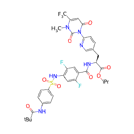 CC(C)OC(=O)[C@H](Cc1ccc(-n2c(=O)cc(C(F)(F)F)n(C)c2=O)nc1)NC(=O)c1cc(F)c(NS(=O)(=O)c2ccc(NC(=O)C(C)(C)C)cc2)cc1F